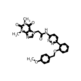 COc1ccc(COc2ccccc2-c2ccc(NC(=O)Cn3cnc4c3c(=O)n(C)c(=O)n4C)nn2)cc1